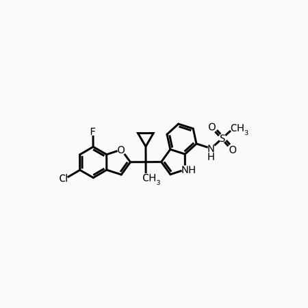 CC(c1cc2cc(Cl)cc(F)c2o1)(c1c[nH]c2c(NS(C)(=O)=O)cccc12)C1CC1